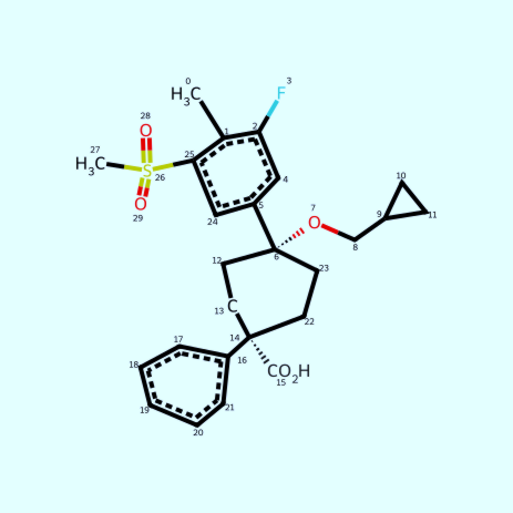 Cc1c(F)cc([C@]2(OCC3CC3)CC[C@](C(=O)O)(c3ccccc3)CC2)cc1S(C)(=O)=O